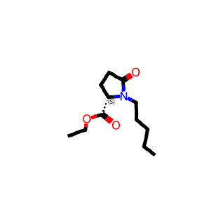 CCCCCN1C(=O)CC[C@H]1C(=O)OCC